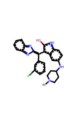 CCN1CCC(Nc2ccc3[nH]c(O)c(C(=C4N=c5ccccc5=N4)c4cccc(F)c4)c3c2)CC1